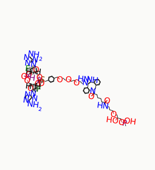 CP(O)OCC(O)COCCCNC(=O)CCCCC(=O)N1Cc2ccccc2C2=C(c3ccccc31)N(CCOCCOCCOCc1ccc(CS[P@@]3(=O)OC[C@H]4O[C@@H](n5cnc6c(N)ncnc65)[C@H](F)[C@@H]4O[PH](=O)OC[C@H]4O[C@@H](n5cnc6c(N)ncnc65)[C@H](F)[C@@H]4O3)cc1)NN2